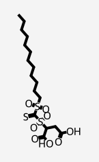 CCCCCCCCCCCCS(=O)(=O)C(=S)S(=O)(=O)C(CC(=O)O)C(=O)O